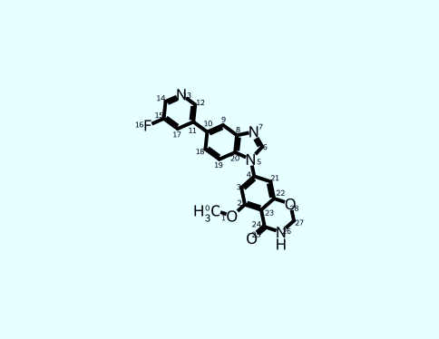 COc1cc(-n2cnc3cc(-c4cncc(F)c4)ccc32)cc2c1C(=O)NCO2